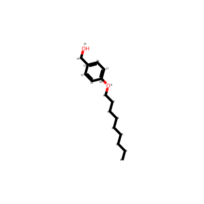 CCCCCCCCCOc1ccc(CO)cc1